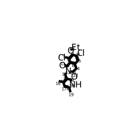 CCOc1c(Cl)cc2c(c1Cl)C(=O)N(Cc1c(C)cc(C)[nH]c1=O)CC2